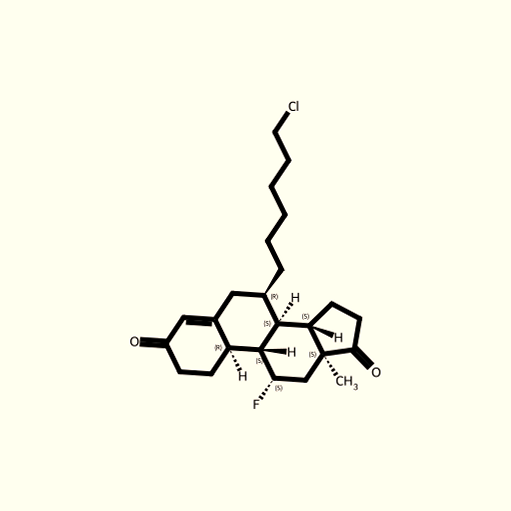 C[C@]12C[C@H](F)[C@H]3[C@@H]([C@H](CCCCCCCl)CC4=CC(=O)CC[C@@H]43)[C@@H]1CCC2=O